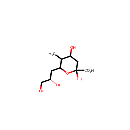 CC1C(O)CC(O)(C(=O)O)OC1C[C@H](O)CO